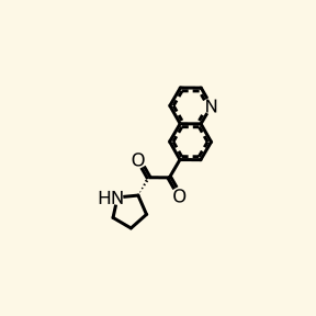 O=C(C(=O)[C@@H]1CCCN1)c1ccc2ncccc2c1